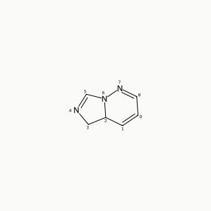 C1=CC2CN=CN2N=C1